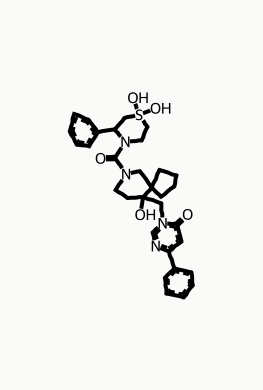 O=C(N1CCC(O)(Cn2cnc(-c3ccccc3)cc2=O)C2(CCCC2)C1)N1CCS(O)(O)CC1c1ccccc1